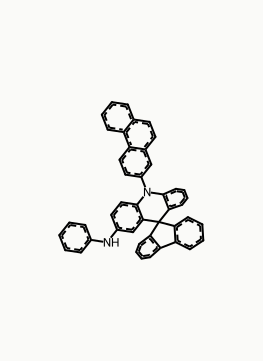 c1ccc(Nc2ccc3c(c2)C2(c4ccccc4-c4ccccc42)c2ccccc2N3c2ccc3c(ccc4ccccc43)c2)cc1